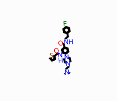 CN(C)CCN1CCN(c2ccc(C(=O)NCCc3ccc(F)cc3)cc2NC(=O)c2cccs2)CC1